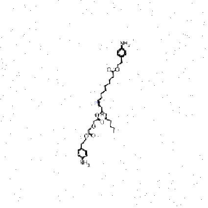 CCCCCC[C@H](C/C=C\CCCCCCCC(=O)OCCc1ccc(N)cc1)OC(=O)COCC(=O)OCCc1ccc(N)cc1